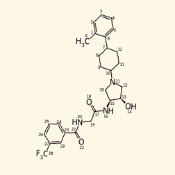 Cc1ccccc1C1CCC(N2C[C@@H](O)[C@@H](NC(=O)CNC(=O)c3cccc(C(F)(F)F)c3)C2)CC1